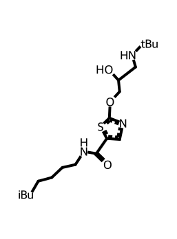 CCC(C)CCCCNC(=O)c1cnc(OCC(O)CNC(C)(C)C)s1